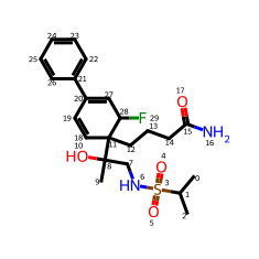 CC(C)S(=O)(=O)NCC(C)(O)C1(CCCC(N)=O)C=CC(c2ccccc2)=CC1F